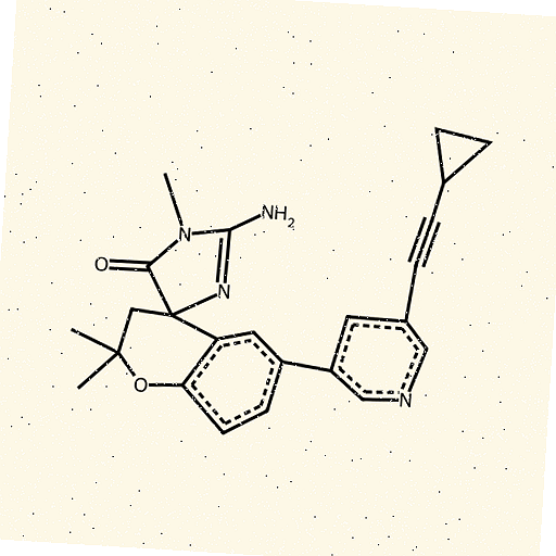 CN1C(=O)C2(CC(C)(C)Oc3ccc(-c4cncc(C#CC5CC5)c4)cc32)N=C1N